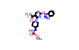 CC(C)(C)OC(=O)NCC1CCN(c2nc(On3nnc4ccccc43)ncc2C(N)=O)CC1